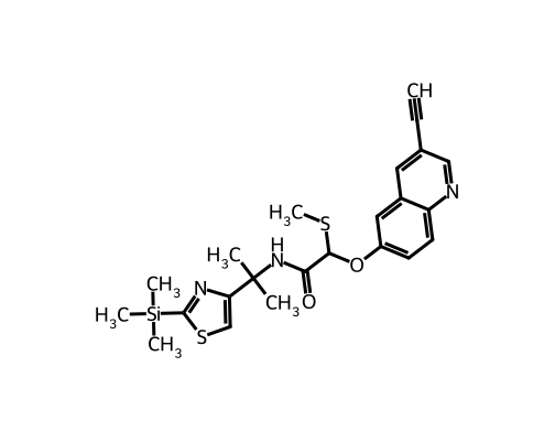 C#Cc1cnc2ccc(OC(SC)C(=O)NC(C)(C)c3csc([Si](C)(C)C)n3)cc2c1